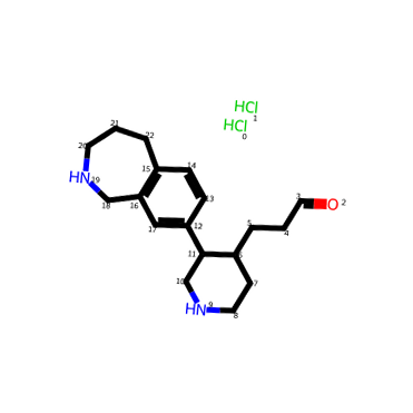 Cl.Cl.O=CCCC1CCNCC1c1ccc2c(c1)CNCCC2